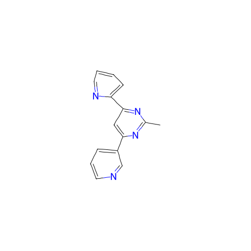 Cc1nc(-c2cccnc2)cc(-c2ccccn2)n1